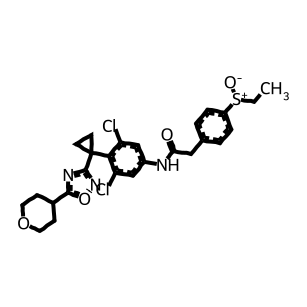 CC[S+]([O-])c1ccc(CC(=O)Nc2cc(Cl)c(C3(c4noc(C5CCOCC5)n4)CC3)c(Cl)c2)cc1